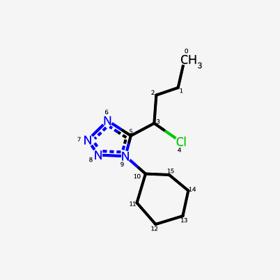 CCCC(Cl)c1nnnn1C1CCCCC1